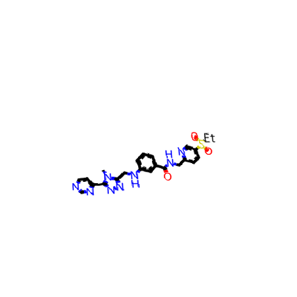 CCS(=O)(=O)c1ccc(CNC(=O)c2cccc(NCc3nnc(-c4ccncn4)n3C)c2)nc1